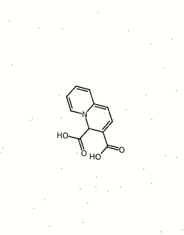 O=C(O)C1=CC=C2C=CC=CN2C1C(=O)O